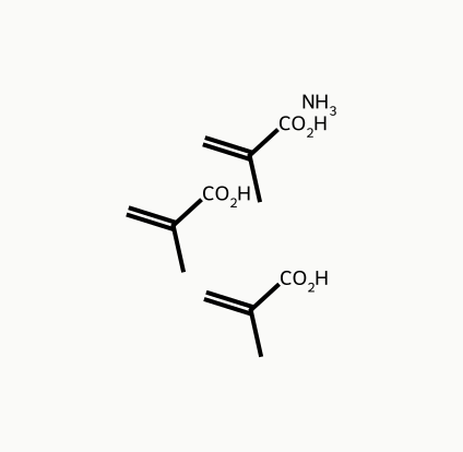 C=C(C)C(=O)O.C=C(C)C(=O)O.C=C(C)C(=O)O.N